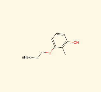 CCCCCCCCOc1cccc(O)c1C